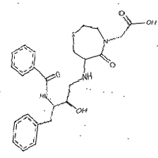 O=C(O)CN1CCSCC(NCC(O)C(Cc2ccccc2)NC(=O)c2ccccc2)C1=O